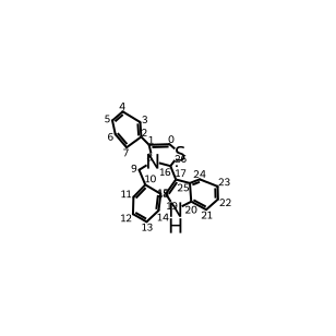 C1=C(c2ccccc2)N(Cc2ccccc2)[C](c2c[nH]c3ccccc23)S1